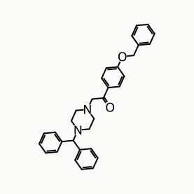 O=C(CN1CCN(C(c2ccccc2)c2ccccc2)CC1)c1ccc(OCc2ccccc2)cc1